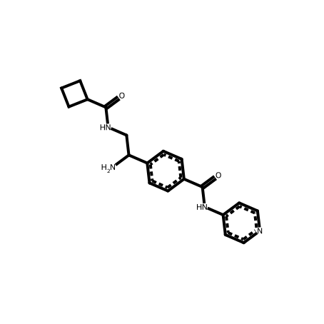 NC(CNC(=O)C1CCC1)c1ccc(C(=O)Nc2ccncc2)cc1